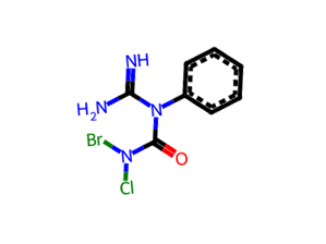 N=C(N)N(C(=O)N(Cl)Br)c1ccccc1